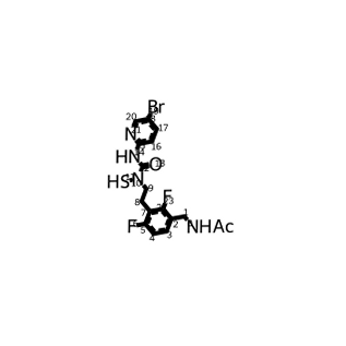 CC(=O)NCc1ccc(F)c(CCN(S)C(=O)Nc2ccc(Br)cn2)c1F